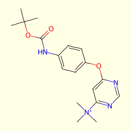 CC(C)(C)OC(=O)Nc1ccc(Oc2cc([N+](C)(C)C)ncn2)cc1